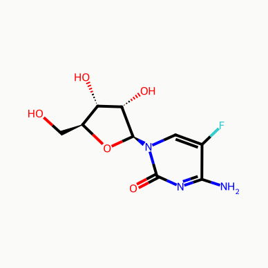 Nc1nc(=O)n([C@H]2O[C@@H](CO)[C@H](O)[C@@H]2O)cc1F